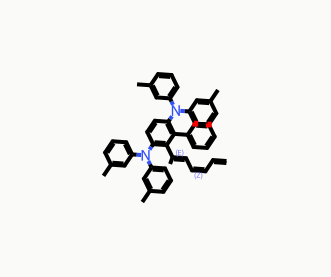 C=C/C=C\C=C(/C)c1c(N(c2cccc(C)c2)c2cccc(C)c2)ccc(N(c2cccc(C)c2)c2cccc(C)c2)c1-c1ccccc1